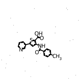 Cc1ccc(C(=O)Nc2cc(-c3cccnc3)sc2C(=O)O)cc1